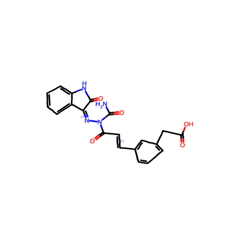 NC(=O)N(/N=C1\C(=O)Nc2ccccc21)C(=O)/C=C/c1cccc(CC(=O)O)c1